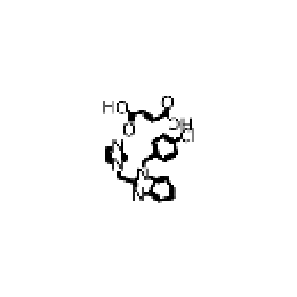 Clc1ccc(Cn2c(Cn3ccnc3)nc3ccccc32)cc1.O=C(O)/C=C/C(=O)O